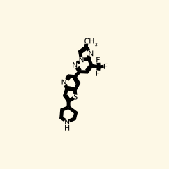 Cc1cn2nc(-c3cnc4cc(C5CCNCC5)sc4c3)cc(C(F)(F)F)c2n1